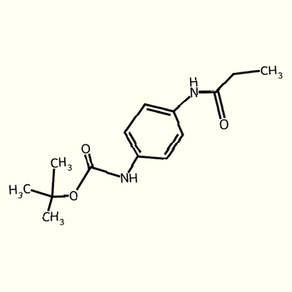 CCC(=O)Nc1ccc(NC(=O)OC(C)(C)C)cc1